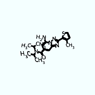 Cc1ccsc1-c1nc2cc(C(=O)N(C(C)C)C(C)C)cc(N)n2n1